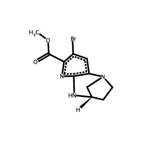 COC(=O)c1nc2c(cc1Br)N1CC[C@@H](C1)N2